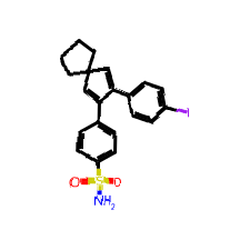 NS(=O)(=O)c1ccc(C2=CC3(C=C2c2ccc(I)cc2)CCCC3)cc1